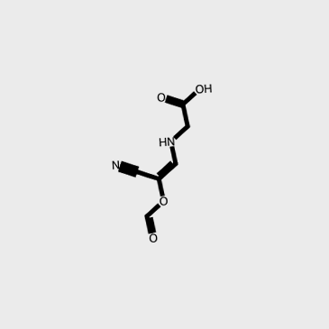 N#C/C(=C\NCC(=O)O)OC=O